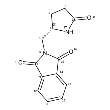 O=C1CC[C@@H](CN2C(=O)c3ccccc3C2=O)N1